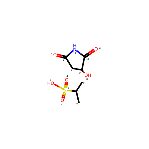 CC(C)S(=O)(=O)O.O=C1CC(O)C(=O)N1